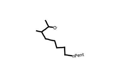 CCCCCCCCCCC(C)C(C)[O]